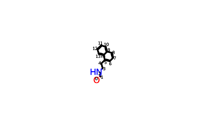 O=CNCCc1cccc2ccccc12